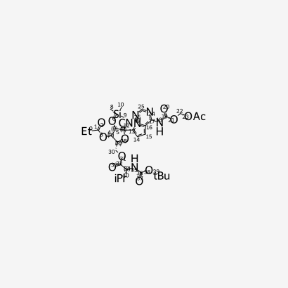 CCC(=O)O[C@H]1[C@@H](O[Si](C)(C)C)[C@](C#N)(c2ccc3c(NC(=O)OCOC(C)=O)ncnn23)O[C@@H]1COC(=O)[C@@H](NC(=O)OC(C)(C)C)C(C)C